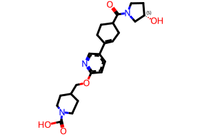 O=C(O)N1CCC(COc2ccc(C3=CCC(C(=O)N4CC[C@H](O)C4)CC3)cn2)CC1